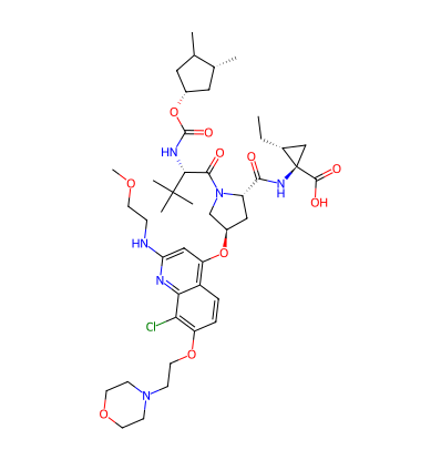 CC[C@@H]1C[C@]1(NC(=O)[C@@H]1C[C@@H](Oc2cc(NCCOC)nc3c(Cl)c(OCCN4CCOCC4)ccc23)CN1C(=O)[C@@H](NC(=O)O[C@@H]1CC(C)[C@H](C)C1)C(C)(C)C)C(=O)O